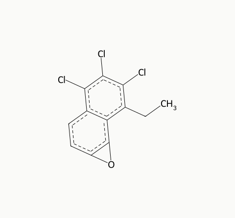 CCc1c(Cl)c(Cl)c(Cl)c2ccc3c(c12)O3